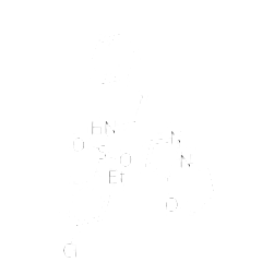 CCc1c(C(Cc2ccccc2)NS(=O)(=O)c2ccc(Cl)cc2)nn2c1OCCC2